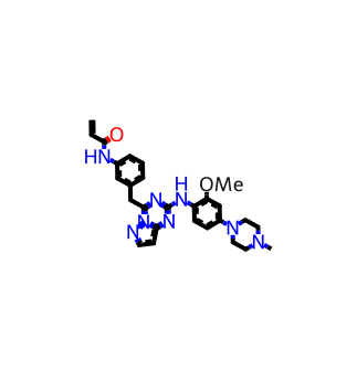 C=CC(=O)Nc1cccc(Cc2nc(Nc3ccc(N4CCN(C)CC4)cc3OC)nc3ccnn23)c1